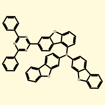 c1ccc(-c2nc(-c3ccccc3)nc(-c3ccc4c(c3)oc3cccc(N(c5ccc6c(c5)oc5ccccc56)c5ccc6c(c5)oc5ccccc56)c34)n2)cc1